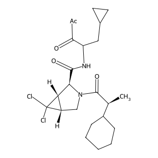 CC(=O)C(=O)C(CC1CC1)NC(=O)[C@@H]1[C@@H]2[C@H](CN1C(=O)[C@@H](C)C1CCCCC1)C2(Cl)Cl